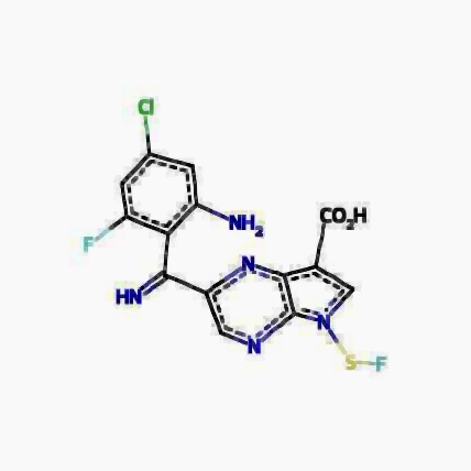 N=C(c1cnc2c(n1)c(C(=O)O)cn2SF)c1c(N)cc(Cl)cc1F